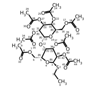 CCS[C@H]1O[C@H](COC(C)=O)[C@H](O[C@H]2O[C@H](COC(C)=O)[C@H](OC(C)=O)[C@H](OC(C)=O)[C@H]2OC(C)=O)[C@H](OC(C)=O)[C@H]1OC(C)=O